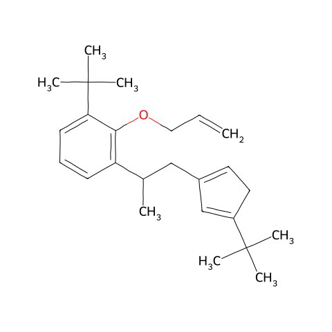 C=CCOc1c(C(C)CC2=CCC(C(C)(C)C)=C2)cccc1C(C)(C)C